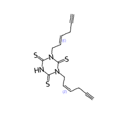 C#CC/C=C\Cn1c(=S)[nH]c(=S)n(C/C=C/CC#C)c1=S